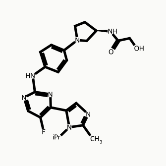 Cc1ncc(-c2nc(Nc3ccc(N4CC[C@@H](NC(=O)CO)C4)cc3)ncc2F)n1C(C)C